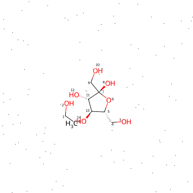 CCO.OC[C@H]1O[C@@](O)(CO)[C@@H](O)[C@@H]1O